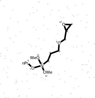 CCCO[Si](CCCOCC1CO1)(OC)OC